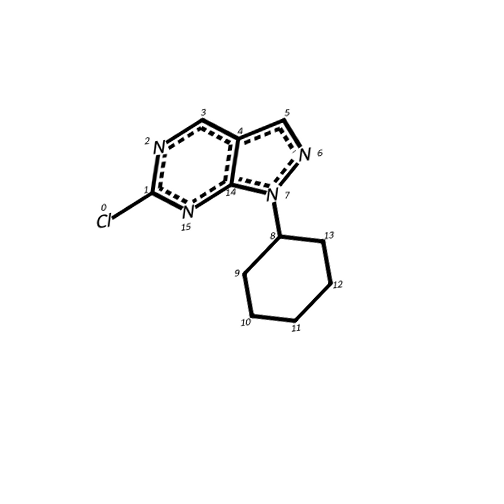 Clc1ncc2cnn(C3CCCCC3)c2n1